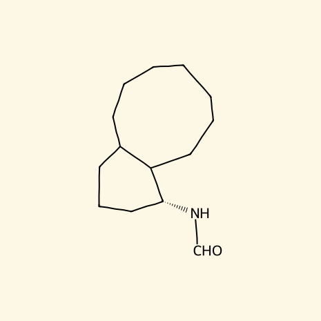 O=CN[C@@H]1CCCC2CCCCCCCC21